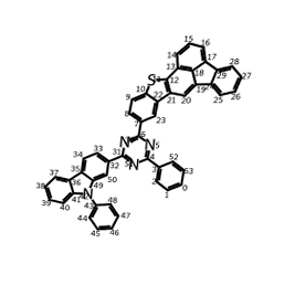 c1ccc(-c2nc(-c3ccc4sc5c6cccc7c6c(cc5c4c3)-c3ccccc3-7)nc(-c3ccc4c5ccccc5n(-c5ccccc5)c4c3)n2)cc1